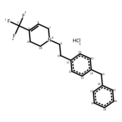 Cl.FC(F)(F)C1=CCN(CCc2ccc(Cc3ccccc3)cc2)CC1